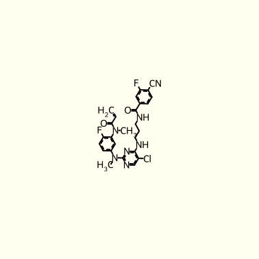 C=CC(=O)N(C)c1cc(N(C)c2ncc(Cl)c(NCCCNC(=O)c3ccc(C#N)c(F)c3)n2)ccc1F